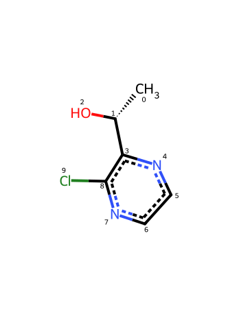 C[C@@H](O)c1nccnc1Cl